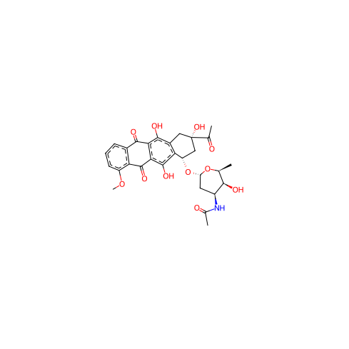 COc1cccc2c1C(=O)c1c(O)c3c(c(O)c1C2=O)C[C@@](O)(C(C)=O)C[C@@H]3O[C@H]1C[C@H](NC(C)=O)[C@H](O)[C@H](C)O1